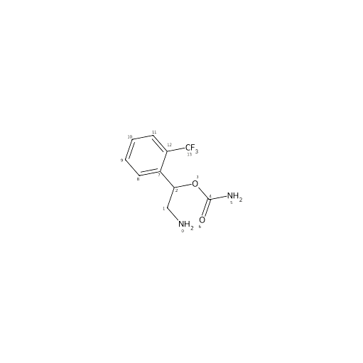 NCC(OC(N)=O)c1ccccc1C(F)(F)F